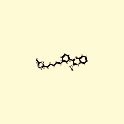 COc1nc2ccccc2nc1-c1cccc(/C=C/CCCc2nnc(C)o2)c1